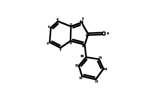 O=C1N=c2ccccc2=C1c1ccccc1